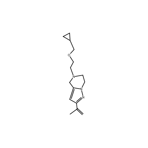 C=C(C)c1cc2n(n1)CCN(CCOCC1CC1)C2